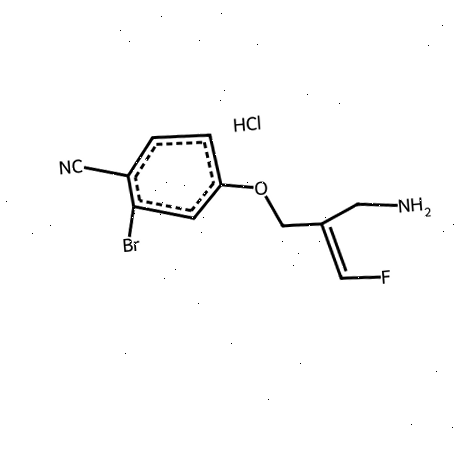 Cl.N#Cc1ccc(OCC(=CF)CN)cc1Br